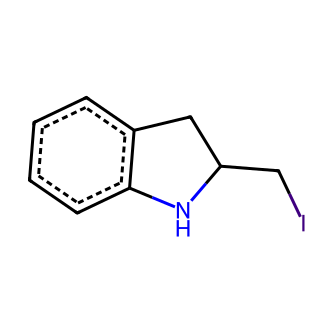 ICC1Cc2ccccc2N1